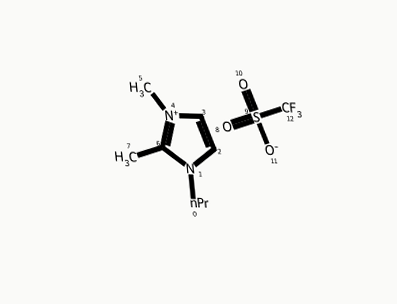 CCCn1cc[n+](C)c1C.O=S(=O)([O-])C(F)(F)F